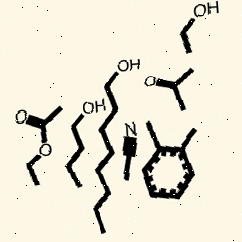 CC#N.CC(C)=O.CCCCCCCCO.CCCCO.CCO.CCOC(C)=O.Cc1ccccc1C